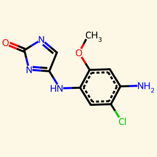 COc1cc(N)c(Cl)cc1NC1=NC(=O)N=C1